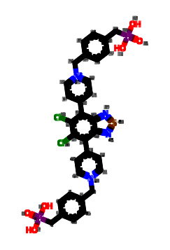 O=P(O)(O)Cc1ccc(C[n+]2ccc(-c3c(Cl)c(Cl)c(-c4cc[n+](Cc5ccc(CP(=O)(O)O)cc5)cc4)c4nsnc34)cc2)cc1